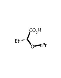 CCCO[C@H](CC)C(=O)O